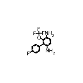 Nc1ccc(N)c(-c2ccc(F)cc2)c1OC(F)(F)F